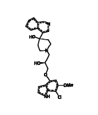 COc1cc(OC[C@@H](O)CN2CCC(O)(c3cncc4ccccc34)CC2)c2cc[nH]c2c1Cl